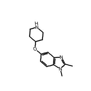 Cc1nc2cc(OC3CCNCC3)ccc2n1C